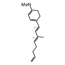 C=CCC/C=C(C)/C=C/C1=CC=C(NC)CC1